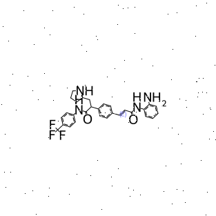 Nc1ccccc1NC(=O)/C=C/c1ccc(C(CC2CCCN2)C(=O)Nc2ccc(C(F)(F)F)cc2)cc1